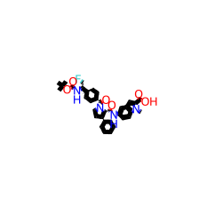 Cn1c(C(=O)O)cc2cc(NC(=O)[C@@H]3[C@H](C4CCCCC4)CCN3C(=O)[C@H]3CC[C@H]([C@@H](CF)NC(=O)OC(C)(C)C)CC3)ccc21